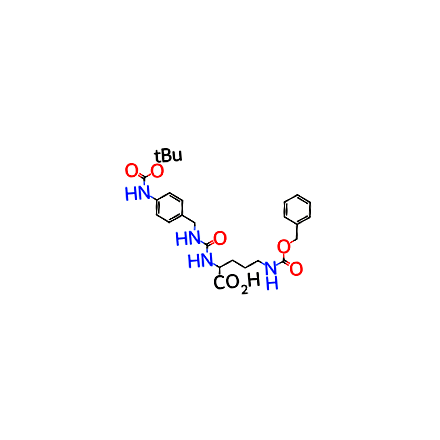 CC(C)(C)OC(=O)Nc1ccc(CNC(=O)NC(CCCNC(=O)OCc2ccccc2)C(=O)O)cc1